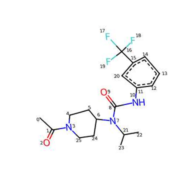 CC(=O)N1CCC(N(C(=O)Nc2cccc(C(F)(F)F)c2)C(C)C)CC1